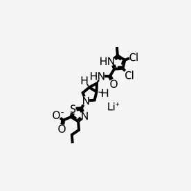 CCCc1nc(N2C[C@@H]3[C@H](C2)[C@@H]3NC(=O)c2[nH]c(C)c(Cl)c2Cl)sc1C(=O)[O-].[Li+]